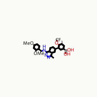 COc1ccc(CNc2nnc(C)c3cc(-c4cc(B(O)O)ccc4OC(F)(F)F)ccc23)c(OC)c1